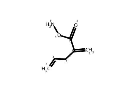 C=CCC(=C)C(=O)ON